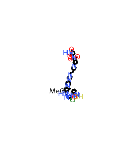 COc1cc(N2CCC(N3CCN(CCC4CCN(c5ccc6c(c5)C(=O)N(C5CCC(=O)NC5=O)C6=O)CC4)CC3)CC2)c(C)cc1Nc1ncc(Cl)c(Nc2ccccc2N(C)[SH]=O)n1